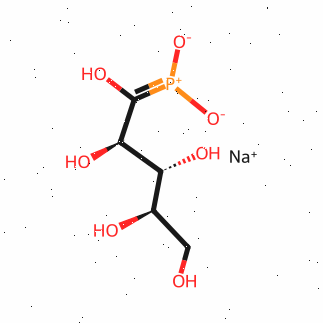 [Na+].[O-][P+]([O-])=C(O)[C@H](O)[C@H](O)[C@H](O)CO